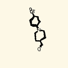 O=CC1CCN(c2ccc(Br)cc2)CC1